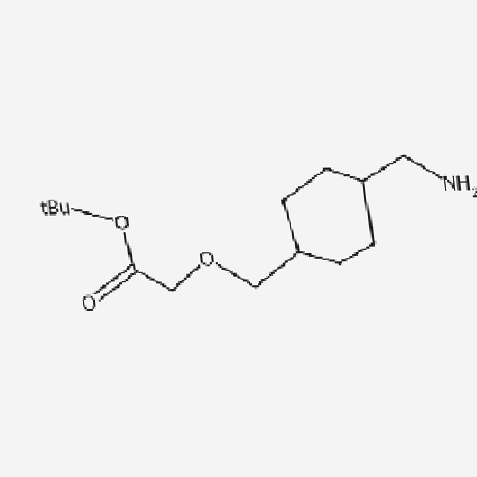 CC(C)(C)OC(=O)COCC1CCC(CN)CC1